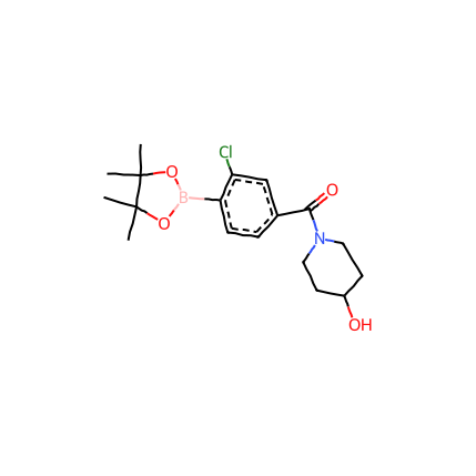 CC1(C)OB(c2ccc(C(=O)N3CCC(O)CC3)cc2Cl)OC1(C)C